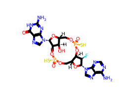 Nc1nc2c(ncn2[C@@H]2O[C@@H]3CO[P@@](=O)(S)O[C@H]4[C@@H](F)[C@H](n5cnc6c(N)ncnc65)O[C@@H]4CO[P@](=O)(S)O[C@@H]2[C@@H]3O)c(=O)[nH]1